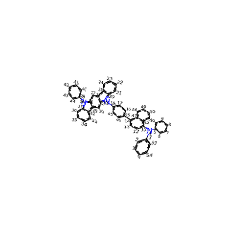 c1ccc(N(c2ccccc2)c2ccc(-c3ccc(-n4c5ccccc5c5cc6c(cc54)c4ccccc4n6-c4ccccc4)cc3)c3ccccc23)cc1